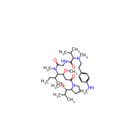 CCC(C)C(C(CC(=O)N1CCCC1C(OC)C(C)C)OC)N(C)C(=O)CNC(=O)C(C(C)C)N(C)CCc1ccc(NC)cc1